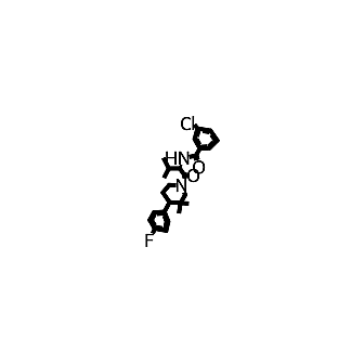 CC(C)[C@@H](NC(=O)c1cccc(Cl)c1)C(=O)N1CCC(c2ccc(F)cc2)C(C)(C)C1